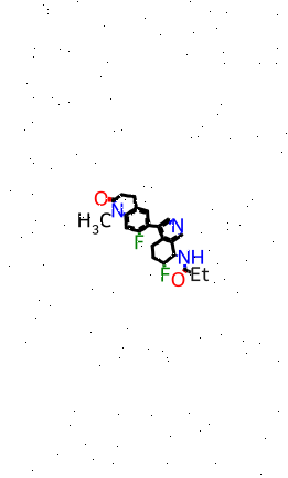 CCC(=O)N[C@H]1c2cncc(-c3cc4c(cc3F)N(C)C(=O)CC4)c2CCC1F